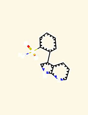 NS(=O)(=O)c1ccccc1-c1c[nH]c2ncccc12